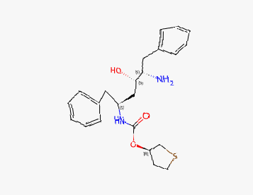 N[C@@H](Cc1ccccc1)[C@@H](O)C[C@H](Cc1ccccc1)NC(=O)O[C@@H]1CCSC1